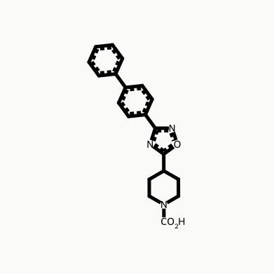 O=C(O)N1CCC(c2nc(-c3ccc(-c4ccccc4)cc3)no2)CC1